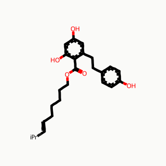 CC(C)/C=C/CCCCCOC(=O)c1c(O)cc(O)cc1CCc1ccc(O)cc1